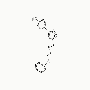 Oc1ccc(-c2noc(CSCCOc3ccccc3)n2)cc1